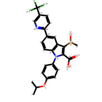 CC(C)Oc1ccc(-n2c(C(=O)O)c([S+](C)[O-])c3cc(-c4ccc(C(F)(F)F)cn4)ccc32)cc1